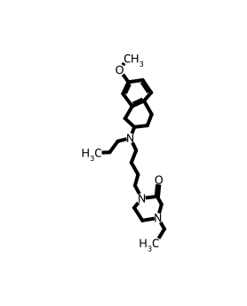 CCCN(CCCCN1CCN(CC)CC1=O)C1CCc2ccc(OC)cc2C1